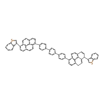 C1=CC(c2csc3ccccc23)C2=CCc3ccc(-c4ccc(-c5ccc(-c6ccc(-c7ccc8ccc9c(-c%10csc%11ccccc%10%11)ccc%10ccc7c8c%109)cc6)cc5)cc4)c4ccc1c2c34